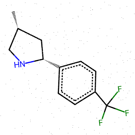 C[C@H]1CN[C@@H](c2ccc(C(F)(F)F)cc2)C1